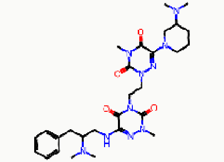 CN(C)C(CNc1nn(C)c(=O)n(CCn2nc(N3CCCC(N(C)C)C3)c(=O)n(C)c2=O)c1=O)Cc1ccccc1